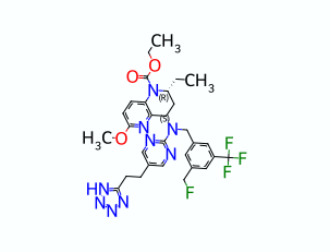 CCOC(=O)N1c2ccc(OC)nc2[C@@H](N(Cc2cc(CF)cc(C(F)(F)F)c2)c2ncc(CCc3nnn[nH]3)cn2)C[C@H]1CC